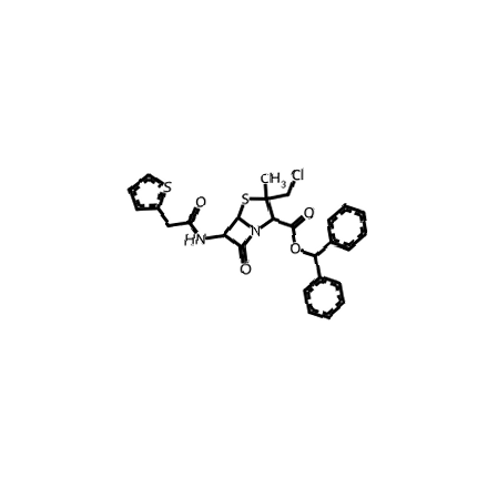 CC1(CCl)SC2C(NC(=O)Cc3cccs3)C(=O)N2C1C(=O)OC(c1ccccc1)c1ccccc1